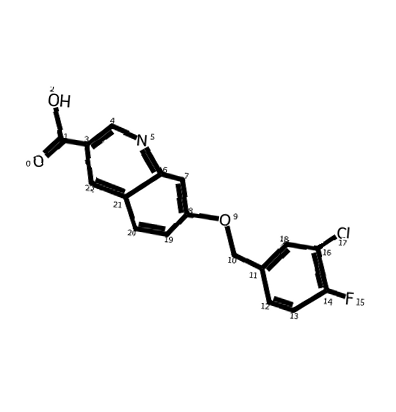 O=C(O)c1cnc2cc(OCc3ccc(F)c(Cl)c3)ccc2c1